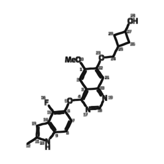 COc1cc2c(Oc3ccc4[nH]c(C)cc4c3F)ncnc2cc1OCC1CC(O)C1